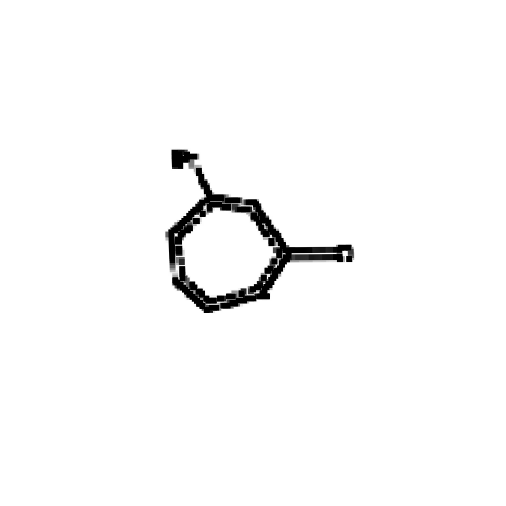 CC(C)c1ccc[c]c(=O)c1